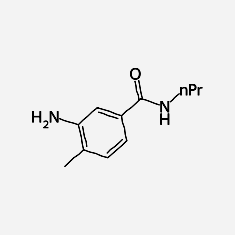 CCCNC(=O)c1ccc(C)c(N)c1